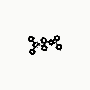 c1ccc(-c2cc(-c3ccccc3)nc(-n3c4ccccc4c4c(-c5ccc6c(c5)c5ccccc5n6-c5ccccc5)cccc43)n2)cc1